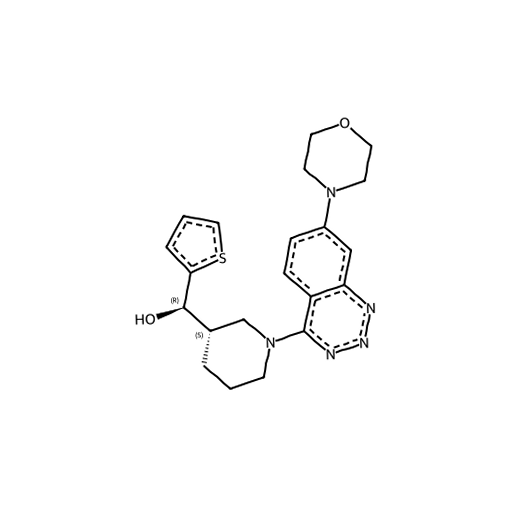 O[C@@H](c1cccs1)[C@H]1CCCN(c2nnnc3cc(N4CCOCC4)ccc23)C1